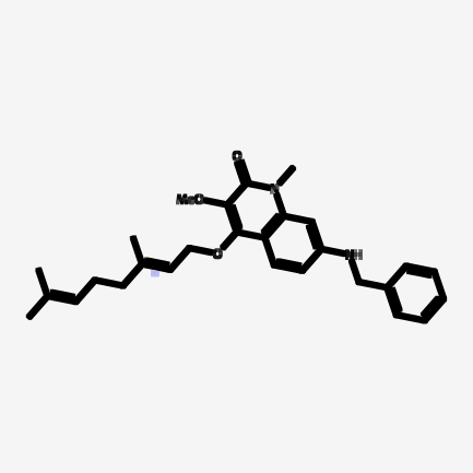 COc1c(OC/C=C(\C)CCC=C(C)C)c2ccc(NCc3ccccc3)cc2n(C)c1=O